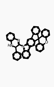 c1ccc(C2Nc3ccccc3N=C2n2c3ccccc3c3cc4c(cc32)-c2ccccc2C42c3ccccc3Oc3ccccc32)cc1